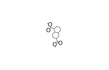 COC(=O)C1CCC2C(CCCC2C(=O)OC)C1